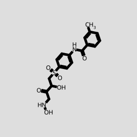 Cc1cccc(C(=O)Nc2ccc(S(=O)(=O)CC(O)C(=O)CNO)cc2)c1